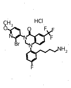 COc1ccc(N2CN(c3ccc(F)cc3CCCCN)c3ccc(C(F)(F)F)cc3C2=O)c(Br)n1.Cl